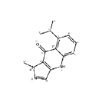 CC(C)c1cccc2[nH]c3cnn(C)c3c(=O)c12